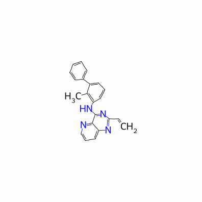 C=Cc1nc(Nc2cccc(-c3ccccc3)c2C)c2ncccc2n1